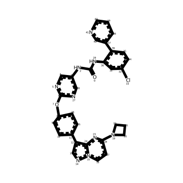 O=C(Nc1cnc(Oc2ccc(-c3cnn4ccc(N5CCC5)nc34)cc2)nc1)Nc1cc(Cl)ccc1-c1cccnc1